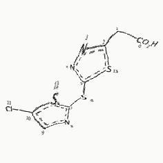 O=C(O)Cc1nnc(Sc2ncc(Cl)s2)s1